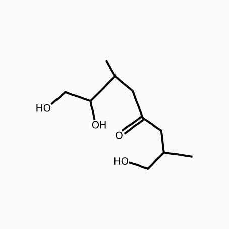 CC(CO)CC(=O)CC(C)C(O)CO